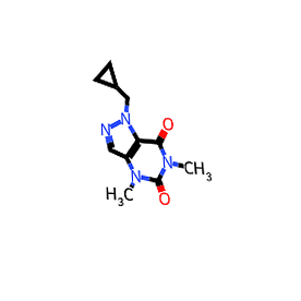 Cn1c(=O)c2c(cnn2CC2CC2)n(C)c1=O